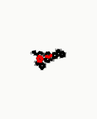 C=C/C=C(\C=C/N(c1ccc(-c2ccc3c(c2)C(C)(C)c2ccccc2-3)cc1)c1ccccc1C1=CCC(C)C=C1)c1ccc2c(c1)C(C)(C)c1ccccc1-2